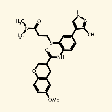 COc1ccc2c(c1)CC(C(=O)Nc1ccc(-c3c[nH]nc3C)cc1SCCC(=O)N(C)C)CO2